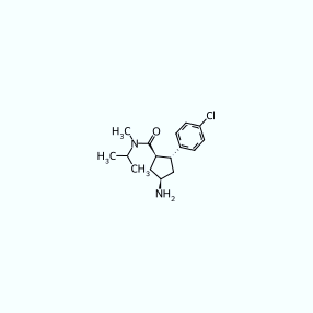 CC(C)N(C)C(=O)[C@@H]1C[C@H](N)C[C@H]1c1ccc(Cl)cc1